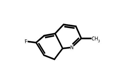 CC1=NC2CC=C(F)C=C2C=C1